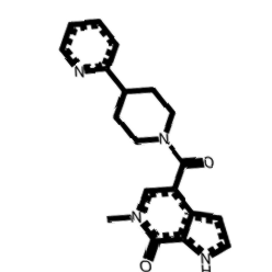 Cn1cc(C(=O)N2CCC(c3ccccn3)CC2)c2cc[nH]c2c1=O